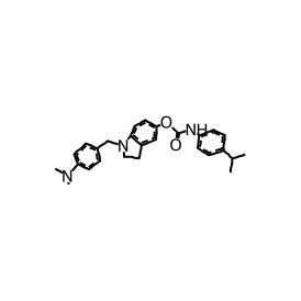 CC(C)c1ccc(NC(=O)Oc2ccc3c(c2)CCN3Cc2ccc(N(C)C)cc2)cc1